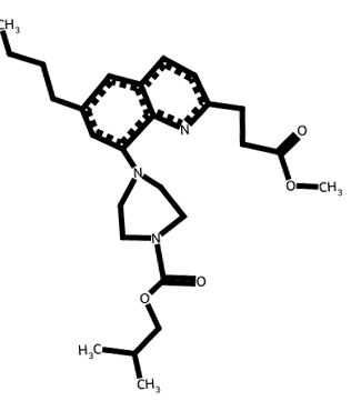 CCCCc1cc(N2CCN(C(=O)OCC(C)C)CC2)c2nc(CCC(=O)OC)ccc2c1